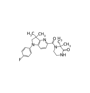 CC1(C)CN(c2ccc(F)cc2)c2ccc(C(=O)N3CCNC(=O)C3(C)C)nc21